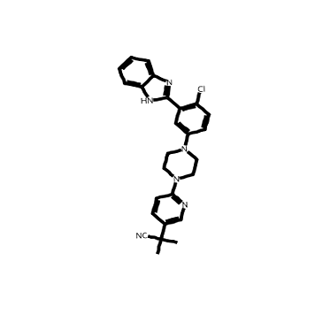 CC(C)(C#N)c1ccc(N2CCN(c3ccc(Cl)c(-c4nc5ccccc5[nH]4)c3)CC2)nc1